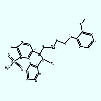 COc1ccccc1OCCNCC(c1ccc(C)c(S(N)(=O)=O)c1)[S+]([O-])c1ccccc1